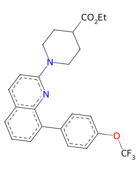 CCOC(=O)C1CCN(c2ccc3cccc(-c4ccc(OC(F)(F)F)cc4)c3n2)CC1